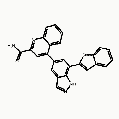 NC(=O)c1cc(-c2cc(-c3cc4ccccc4s3)c3[nH]ncc3c2)c2ccccc2n1